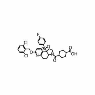 O=C(O)C1CCC(C(=O)N2CCC3(S(=O)(=O)c4ccc(F)cc4)c4ccc(OCc5c(Cl)cccc5Cl)nc4CCC23)CC1